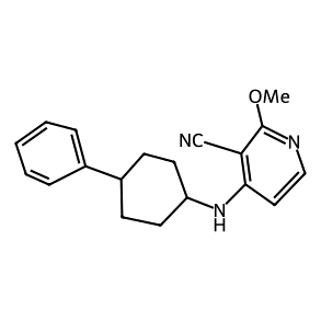 COc1nccc(NC2CCC(c3ccccc3)CC2)c1C#N